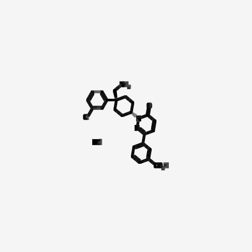 Cl.NC[C@]1(c2cccc(Cl)c2)CC[C@@H](n2nc(-c3cccc(C(=O)O)c3)ccc2=O)CC1